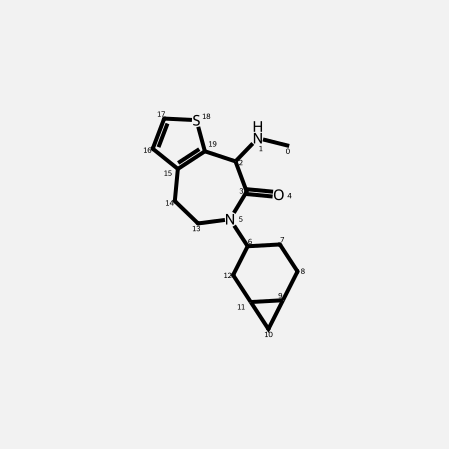 CNC1C(=O)N(C2CCC3CC3C2)CCc2ccsc21